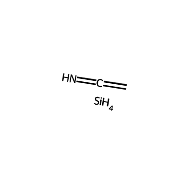 C=C=N.[SiH4]